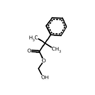 CC(C)(C(=O)OCO)c1ccccc1